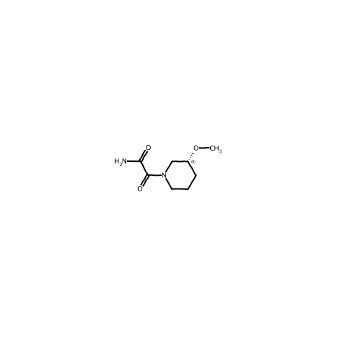 CO[C@@H]1CCCN(C(=O)C(N)=O)C1